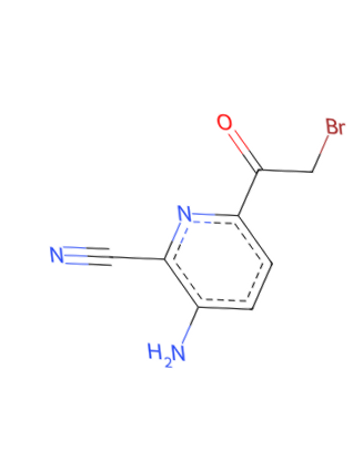 N#Cc1nc(C(=O)CBr)ccc1N